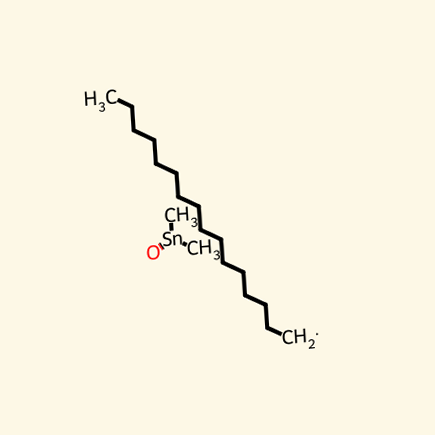 [CH2]CCCCCCCCCCCCCCC.[CH3][Sn]([CH3])=[O]